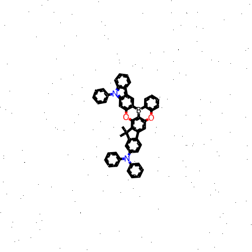 CC1(C)c2cc(N(c3ccccc3)c3ccccc3)ccc2-c2cc3c4c(c21)Oc1cc2c(cc1B4c1ccccc1O3)c1ccccc1n2-c1ccccc1